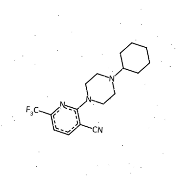 N#Cc1ccc(C(F)(F)F)nc1N1CCN(C2CCCCC2)CC1